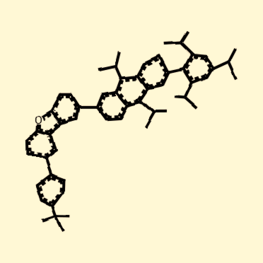 CC(C)c1cc(C(C)C)c(-c2ccc3c(C(C)C)c4cc(-c5ccc6oc7ccc(-c8ccc(C(C)(C)C)cc8)cc7c6c5)ccc4c(C(C)C)c3c2)c(C(C)C)c1